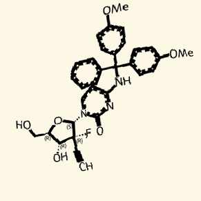 C#C[C@@]1(F)[C@H](O)[C@@H](CO)O[C@@H]1n1ccc(NC(c2ccccc2)(c2ccc(OC)cc2)c2ccc(OC)cc2)nc1=O